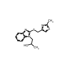 Cc1nc(CSc2nc3ccccc3n2CC(C)O)cs1